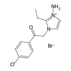 CCc1n(CC(=O)c2ccc(Cl)cc2)cc[n+]1N.[Br-]